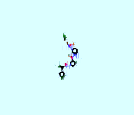 O=C(CSCC(F)(F)F)Nc1c(F)ccc(NC(=O)c2cc(NC(=O)[C@H]3[C@H](c4ccc(F)c(Cl)c4)C3(Cl)Cl)ccc2Cl)c1F